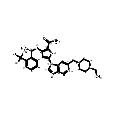 CCN1CCN(Cc2cc3c(cn2)ncn3-c2cc(O[C@H](C)c3ccccc3C(F)(F)F)c(C(N)=O)s2)CC1